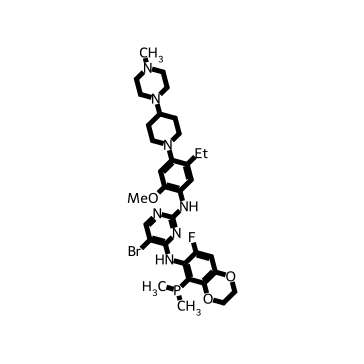 CCc1cc(Nc2ncc(Br)c(Nc3c(F)cc4c(c3P(C)C)OCCO4)n2)c(OC)cc1N1CCC(N2CCN(C)CC2)CC1